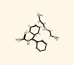 NC(=O)NC(C1CCCCC1)C1CCCCC1.OCCOCCO